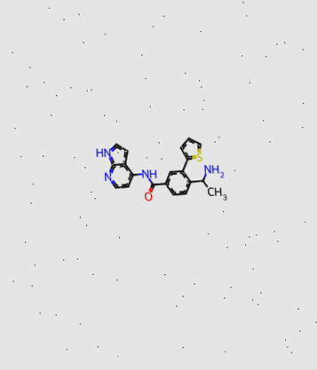 CC(N)c1ccc(C(=O)Nc2ccnc3[nH]ccc23)cc1-c1cccs1